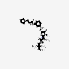 CCN1C(=O)[C@@H](CNc2cccc(NC(=O)CCN3CCCC3)c2)S/C1=C(/N)C(=O)NCC(C)(C)CO